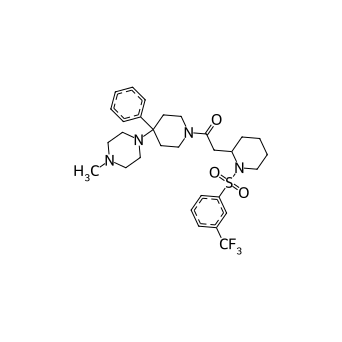 CN1CCN(C2(c3ccccc3)CCN(C(=O)CC3CCCCN3S(=O)(=O)c3cccc(C(F)(F)F)c3)CC2)CC1